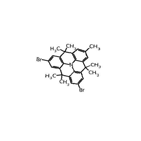 Cc1cc2c3c(c1)C(C)(C)c1cc(Br)cc4c1N3c1c(cc(Br)cc1C4(C)C)C2(C)C